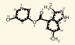 Cc1cc(C(=O)Oc2cncc(Cl)c2)c2c(C)n[nH]c2c1